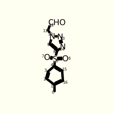 Cc1ccc(S(=O)(=O)c2cn(CC=O)nn2)cc1